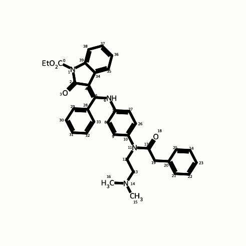 CCOC(=O)N1C(=O)C(=C(Nc2ccc(N(CCN(C)C)C(=O)Cc3ccccc3)cc2)c2ccccc2)c2ccccc21